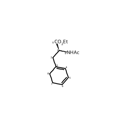 CCOC(=O)[C@H](CC1=CC=CCC1)NC(C)=O